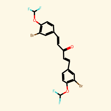 O=C(C=Cc1ccc(OC(F)F)c(Br)c1)C=Cc1ccc(OC(F)F)c(Br)c1